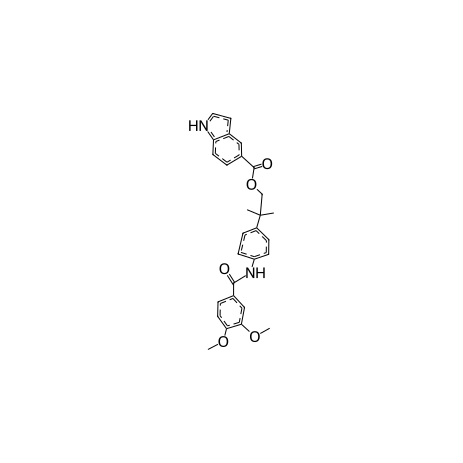 COc1ccc(C(=O)Nc2ccc(C(C)(C)COC(=O)c3ccc4[nH]ccc4c3)cc2)cc1OC